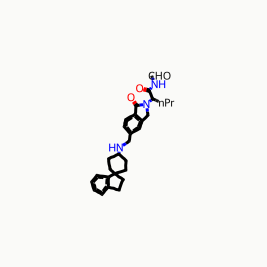 CCCC(C(=O)NC=O)N1Cc2cc(CNC3CCC4(CCc5ccccc54)CC3)ccc2C1=O